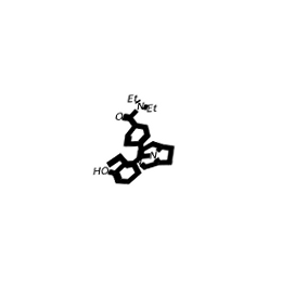 C=CCN1CCC2CCC(C1)N2C(C1=CCC(C(=O)N(CC)CC)C=C1)C1=CC(O)=CCC1